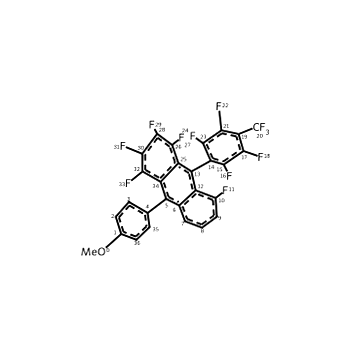 COc1ccc(-c2c3cccc(F)c3c(-c3c(F)c(F)c(C(F)(F)F)c(F)c3F)c3c(F)c(F)c(F)c(F)c23)cc1